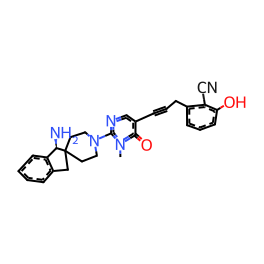 Cn1c(N2CCC3(CC2)Cc2ccccc2[C@H]3N)ncc(C#CCc2cccc(O)c2C#N)c1=O